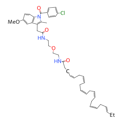 CC/C=C/C/C=C\C/C=C\C/C=C\C/C=C\C/C=C\CCC(=O)NCCOCCNC(=O)Cc1c(C)n(C(=O)c2ccc(Cl)cc2)c2ccc(OC)cc12